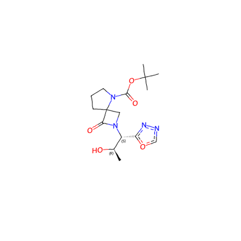 C[C@@H](O)[C@@H](c1nnco1)N1CC2(CCCN2C(=O)OC(C)(C)C)C1=O